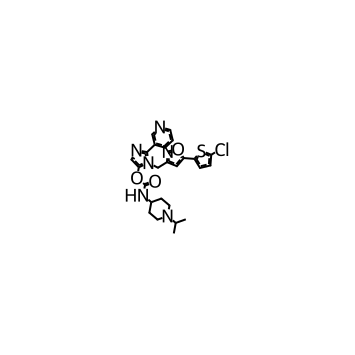 CC(C)N1CCC(NC(=O)Oc2cnc(-c3cccnc3)n2Cc2cc(-c3ccc(Cl)s3)on2)CC1